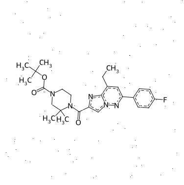 CCc1cc(-c2ccc(F)cc2)nn2cc(C(=O)N3CCN(C(=O)OC(C)(C)C)CC3(C)C)nc12